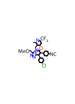 [C-]#[N+]c1ccc(-c2c(-c3ccc(Cl)cc3)c3nnc(COC)n3n(Cc3ccc(C(F)(F)F)nc3C)c2=O)cc1